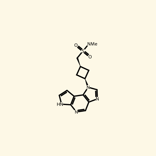 CNS(=O)(=O)C[C@H]1C[C@@H](n2cnc3cnc4[nH]ccc4c32)C1